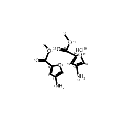 COC(=O)c1cc(N)co1.COC(=O)c1cc(N)co1.Cl